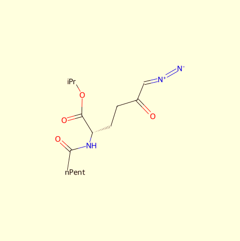 CCCCCC(=O)N[C@@H](CCC(=O)C=[N+]=[N-])C(=O)OC(C)C